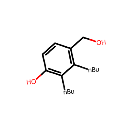 CCCCc1c(O)ccc(CO)c1CCCC